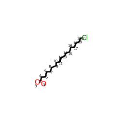 COC(=O)CCCCCCCC=CCCCCCCCCCl